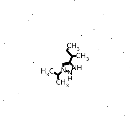 CCC(C)C1=CN(C(C)C)NN1